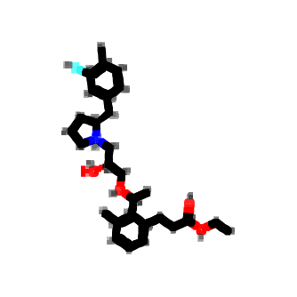 CCOC(=O)CCc1cccc(C)c1C(C)OC[C@H](O)CN1CCC[C@H]1Cc1ccc(C)c(F)c1